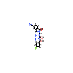 N#Cc1ccc2c(c1)CN(CNC(=O)NC(=O)c1ccc(F)cc1)C2=O